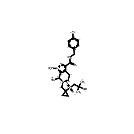 Cn1nc(C(=O)NCc2ccc(C#N)cc2)c2c1C(O)N(CC1(S(=O)(=O)CC(C)(C)O)CC1)CC2